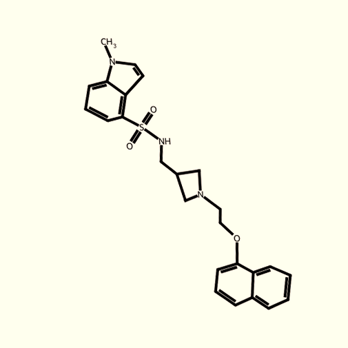 Cn1ccc2c(S(=O)(=O)NCC3CN(CCOc4cccc5ccccc45)C3)cccc21